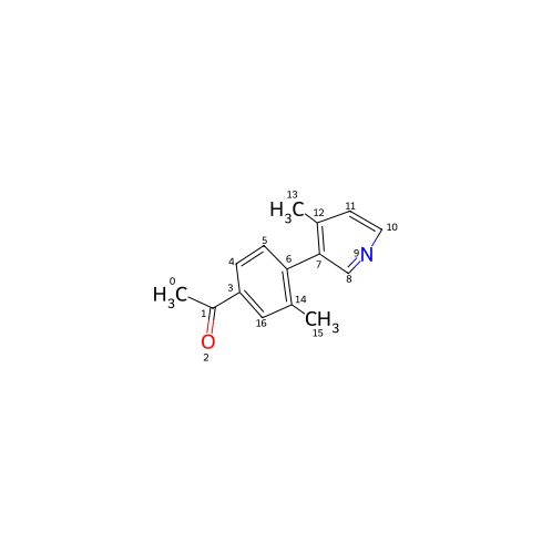 CC(=O)c1ccc(-c2cnccc2C)c(C)c1